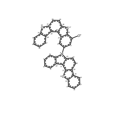 Clc1cc(-n2c3ccccc3c3c4oc5ccccc5c4ccc32)cc2c1sc1ccc3oc4ccccc4c3c12